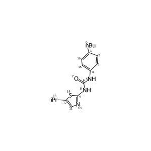 CCCCc1ccc(NC(=O)Nc2ncc(C(C)C)s2)cc1